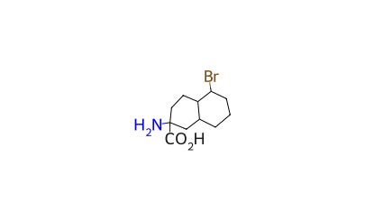 NC1(C(=O)O)CCC2C(Br)CCCC2C1